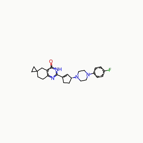 O=c1[nH]c(C2=C[C@@H](N3CCN(c4ccc(F)cc4)CC3)CC2)nc2c1CC1(CC2)CC1